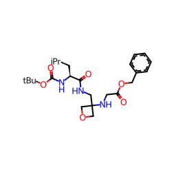 CC(C)C[C@H](NC(=O)OC(C)(C)C)C(=O)NCC1(NCC(=O)OCc2ccccc2)COC1